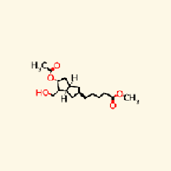 COC(=O)CCC/C=C1\C[C@@H]2C[C@@H](OC(C)=O)[C@H](CO)[C@@H]2C1